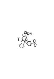 COC(=O)c1ccc2c(C3CCCCC3)c3n(c2c1)CC(C(=O)O)=C(C)c1ccccc1-3